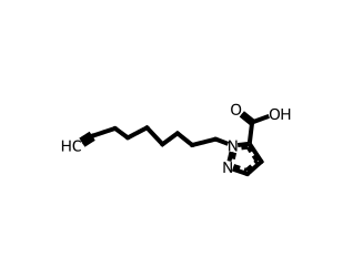 C#CCCCCCCCn1nccc1C(=O)O